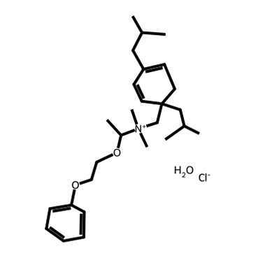 CC(C)CC1=CCC(CC(C)C)(C[N+](C)(C)C(C)OCCOc2ccccc2)C=C1.O.[Cl-]